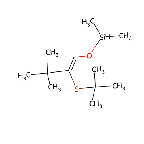 C[SiH](C)OC=C(SC(C)(C)C)C(C)(C)C